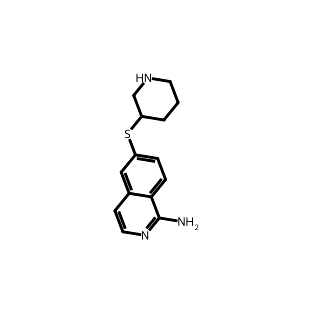 Nc1nccc2cc(SC3CCCNC3)ccc12